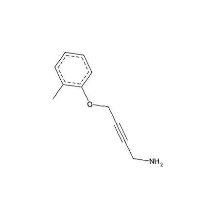 Cc1ccccc1OCC#CCN